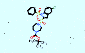 CC(C)(C)OC(=O)N1CCCN(S(=O)(=O)c2cc3cc(Cl)ccc3n2S(=O)(=O)c2ccccc2)CC1